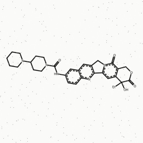 CCC1(O)C(=O)OCc2c1cc1n(c2=O)Cc2cc3cc(NC(=O)N4CCC(N5CCCCC5)CC4)ccc3nc2-1